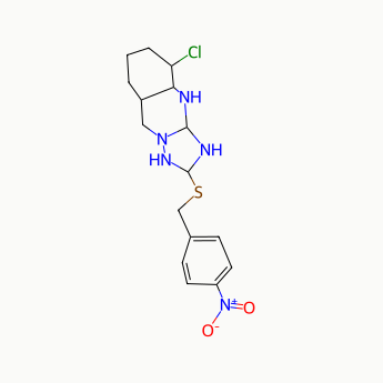 O=[N+]([O-])c1ccc(CSC2NC3NC4C(Cl)CCCC4CN3N2)cc1